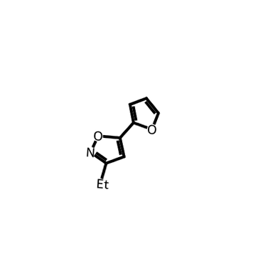 CCc1cc(-c2ccco2)on1